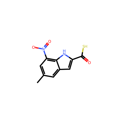 Cc1cc([N+](=O)[O-])c2[nH]c(C(=O)S)cc2c1